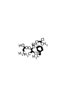 C=C(C)C(=O)OC.C=C(Cl)Cl.C=CC(=O)O.C=Cc1ccccc1